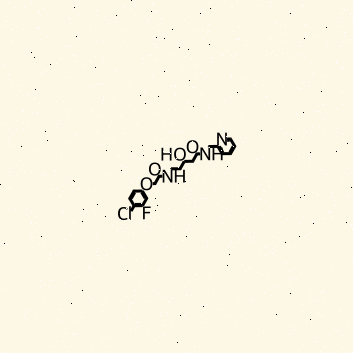 O=C(COc1ccc(Cl)c(F)c1)NCCC(O)CC(=O)NCc1ccccn1